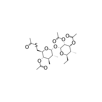 CC[C@H]1O[C@H](O[C@H]2O[C@H](CSC(C)=O)[C@@H](OC(C)=O)[C@H](C)[C@H]2C)[C@H](OC(C)=O)[C@@H](OC(C)=O)[C@@H]1C